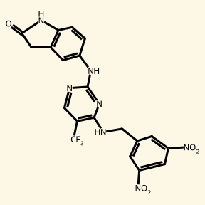 O=C1Cc2cc(Nc3ncc(C(F)(F)F)c(NCc4cc([N+](=O)[O-])cc([N+](=O)[O-])c4)n3)ccc2N1